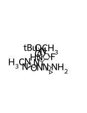 Cc1ncc(Oc2nc(N3C[C@H](N)C4(CC4)C3)c3c(n2)[nH]c2c(N(C)C(=O)OC(C)(C)C)cc(F)cc23)cn1